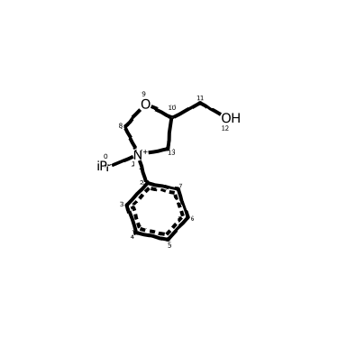 CC(C)[N+]1(c2ccccc2)COC(CO)C1